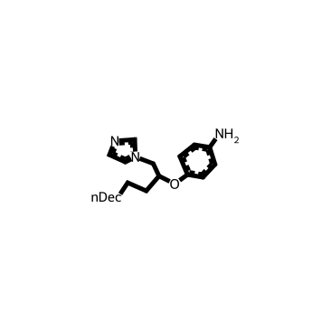 CCCCCCCCCCCCC(Cn1ccnc1)Oc1ccc(N)cc1